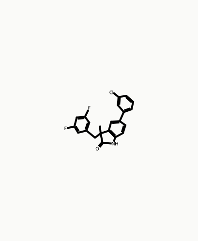 CC1(Cc2cc(F)cc(F)c2)C(=O)Nc2ccc(-c3cccc(Cl)c3)cc21